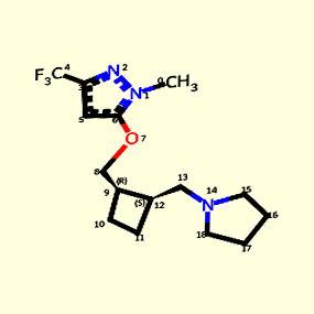 Cn1nc(C(F)(F)F)cc1OC[C@@H]1CC[C@@H]1CN1CCCC1